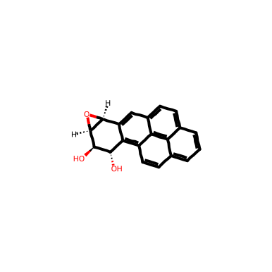 O[C@H]1[C@H]2O[C@H]2c2cc3ccc4cccc5ccc(c2[C@@H]1O)c3c45